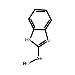 O[Se]c1nc2ccccc2[nH]1